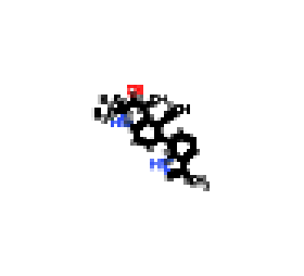 C#Cc1c(-c2cccc3c(C)c[nH]c23)ccc2c1C(C)C(O)C(C)(C)N2